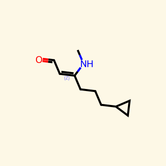 CN/C(=C\C=O)CCCC1CC1